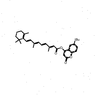 CC1=C(/C=C/C(C)=C/C=C/C(C)=C/C(=O)Oc2cc(=O)oc3ccc(C(C)(C)C)cc23)C(C)(C)CCC1